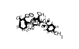 CS/C(=N/C(OS(=O)(=O)c1ccc(C)cc1)=C(/C)C=O)N(C)c1cccc(Cl)c1Cl